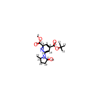 COC(=O)c1cc(C(=O)OC(C)(C)C)cc(N2C(=O)CCC2C)n1